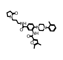 Cc1ccccc1N1CCN(c2ccc(C(=O)NCCCN3CCCC3=O)cc2NC(=O)c2cc(C)c(C)o2)CC1